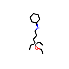 CCO[Si](CC)(CC)CCCN=C1CCCCC1